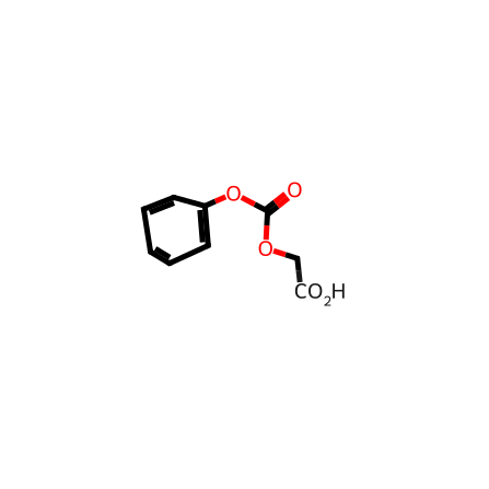 O=C(O)COC(=O)Oc1ccccc1